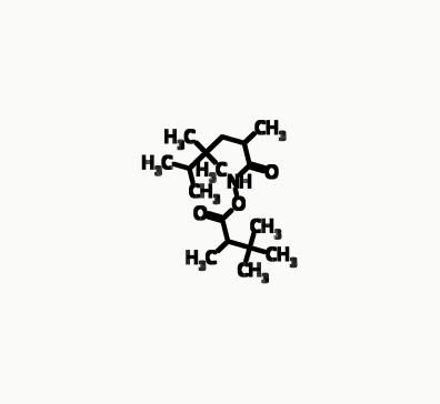 CC(CC(C)(C)C(C)C)C(=O)NOC(=O)C(C)C(C)(C)C